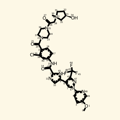 COc1ccc(-n2cc(-c3cnc(C(=O)Nc4ccc(C(=O)N5CCN(C(=O)C[N+]6(C)CC[C@@H](O)C6)CC5)c(Cl)c4)[nH]3)c(C(F)(F)F)n2)nc1